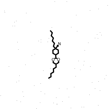 CCCCCCCC1(C#N)CCC(C2OCC(CCCCCC)CO2)CC1